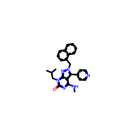 CNc1nc(=O)n(CC(C)C)c2nn(Cc3cccc4ccccc34)c(-c3ccncc3)c12